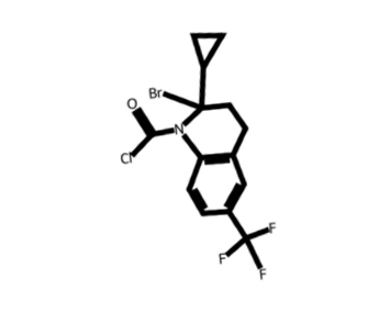 O=C(Cl)N1c2ccc(C(F)(F)F)cc2CCC1(Br)C1CC1